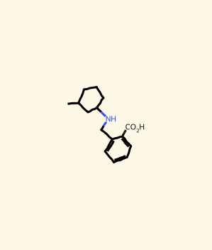 CC1CCCC(NCc2ccccc2C(=O)O)C1